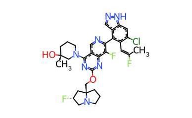 C/C(F)=C\c1c(Cl)cc2[nH]ncc2c1-c1ncc2c(N3CCC[C@@](C)(O)C3)nc(OC[C@@]34CCCN3C[C@H](F)C4)nc2c1F